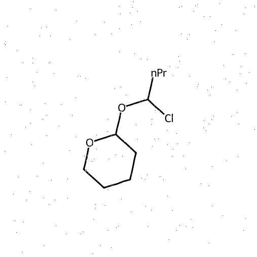 CCCC(Cl)OC1CCCCO1